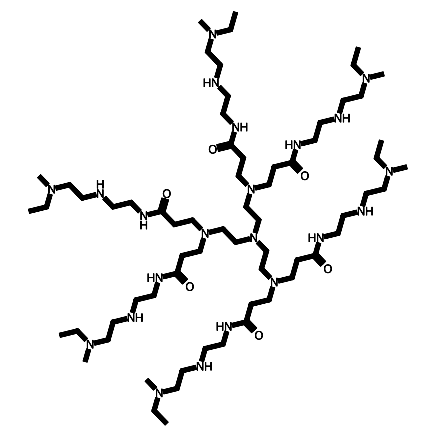 CCN(C)CCNCCNC(=O)CCN(CCC(=O)NCCNCCN(C)CC)CCN(CCN(CCC(=O)NCCNCCN(C)CC)CCC(=O)NCCNCCN(C)CC)CCN(CCC(=O)NCCNCCN(C)CC)CCC(=O)NCCNCCN(C)CC